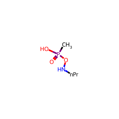 CCCNOP(C)(=O)O